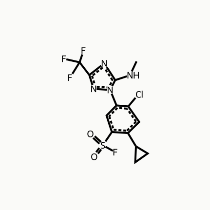 CNc1nc(C(F)(F)F)nn1-c1cc(S(=O)(=O)F)c(C2CC2)cc1Cl